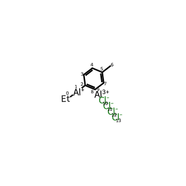 C[CH2][Al+][c]1ccc(C)cc1.[Al+3].[Cl-].[Cl-].[Cl-].[Cl-]